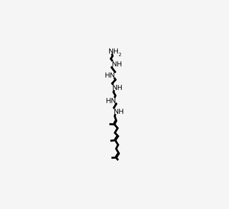 CC(C)=CCC/C(C)=C/CC/C(C)=C/CNCCNCCNCCNCCNCCN